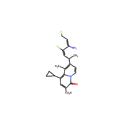 Cc1c(C(C)/C=C(F)\C(N)=C/CF)ccn2c(=O)c(C(=O)O)cc(C3CC3)c12